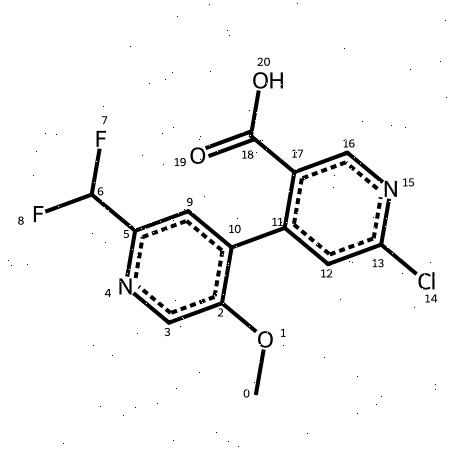 COc1cnc(C(F)F)cc1-c1cc(Cl)ncc1C(=O)O